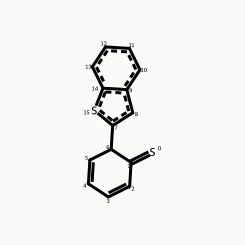 S=C1[C]=CC=CC1c1cc2ccccc2s1